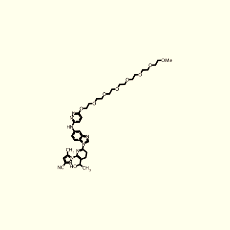 COCCOCCOCCOCCOCCOCCOCCOc1ccc(Nc2ccc3c(c2)ncn3C2=NC(n3nc(C#N)cc3C)=C(C(C)O)CC2)nn1